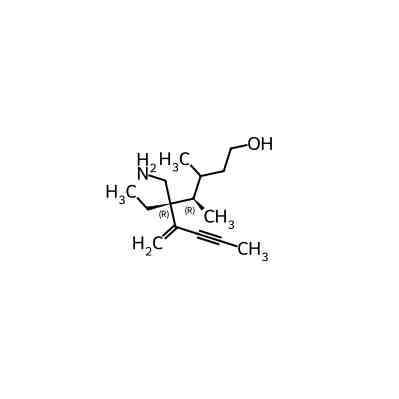 C=C(C#CC)[C@](CC)(CN)[C@H](C)C(C)CCO